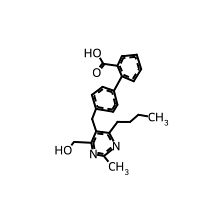 CCCCc1nc(C)nc(CO)c1Cc1ccc(-c2ccccc2C(=O)O)cc1